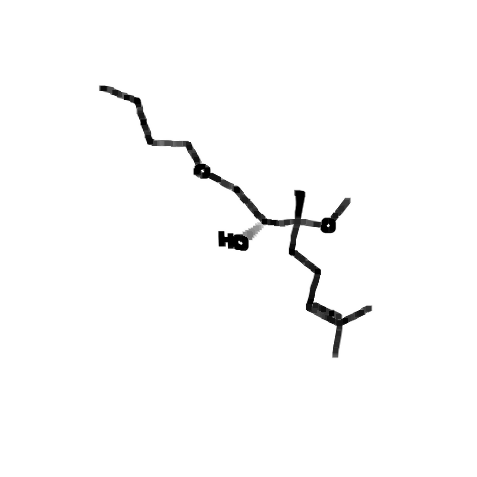 CCCCOC[C@@H](O)[C@@](C)(CCC=C(C)C)OC